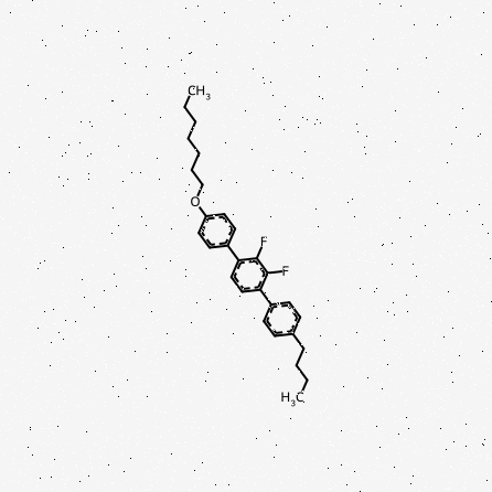 CCCCCCCOc1ccc(-c2ccc(-c3ccc(CCCC)cc3)c(F)c2F)cc1